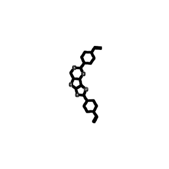 C=CC1CCC(C2OCC3OC4OC(C5CCC(C=C)CC5)OC4C3O2)CC1